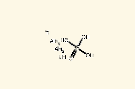 O=P(O)(O)O.[AlH3].[AlH3].[LiH].[Ti]